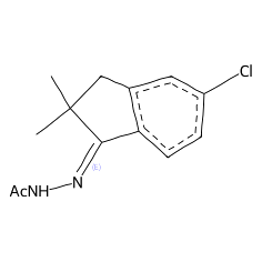 CC(=O)N/N=C1/c2ccc(Cl)cc2CC1(C)C